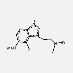 COc1ccc2[nH]nc(CCN(C)C(C)C)c2c1F